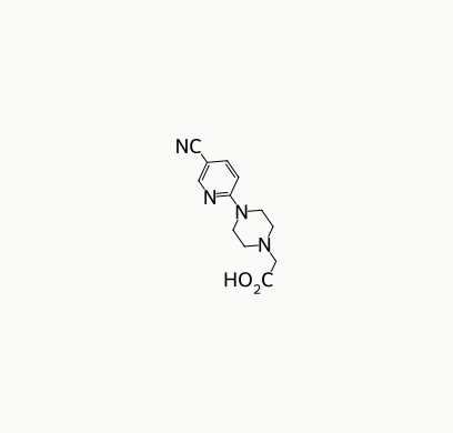 N#Cc1ccc(N2CCN(CC(=O)O)CC2)nc1